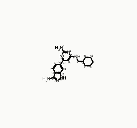 Nc1nc(NCC2CCCCC2)cc(-c2ccc3c(N)n[nH]c3c2)n1